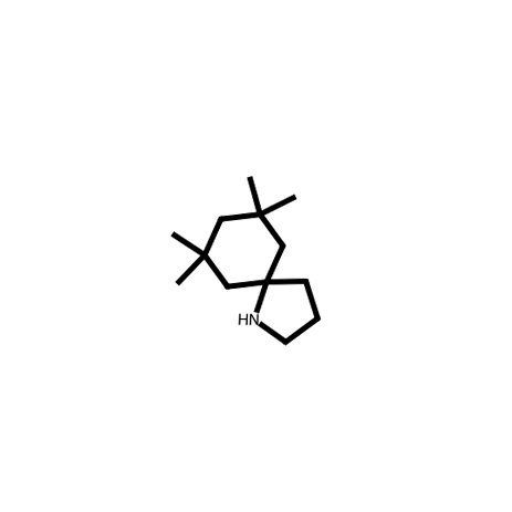 CC1(C)CC(C)(C)CC2(CCCN2)C1